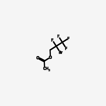 CC(=O)OCC(F)(Br)C(F)(F)F